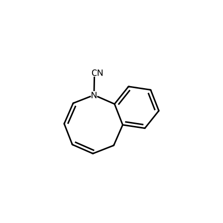 N#CN1/C=C\C=C/Cc2ccccc21